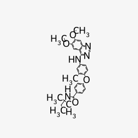 CCC(C)(C)NC(=O)c1ccc(Oc2ccc(Nc3ncnc4cc(OC)c(OC)cc34)cc2C)cc1